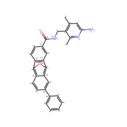 Cc1cc(N)nc(C)c1CNC(=O)c1ccc2c(c1)c1oc2c2ccc(-c3ccccc3)cc21